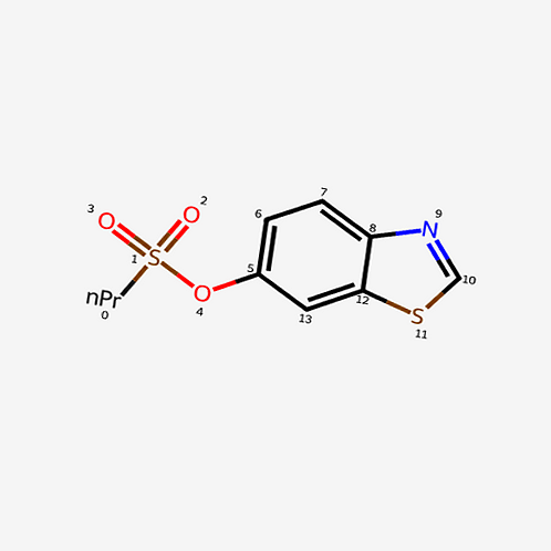 CCCS(=O)(=O)Oc1ccc2ncsc2c1